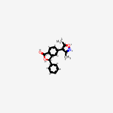 Cc1noc(C)c1-c1ccc2c(c1)C(c1ccccc1)OC2=O